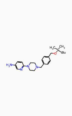 CC(C)(C)[Si](C)(C)OCc1ccc(CN2CCN(c3ccc(N)cn3)CC2)cc1